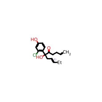 C=CCCC(=O)C(O)(C/C=C/CC)c1ccc(O)cc1Cl